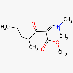 CCCC(C)C(=O)C(=CN(C)C)C(=O)OC